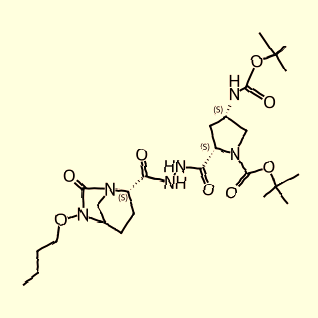 CCCCON1C(=O)N2CC1CC[C@H]2C(=O)NNC(=O)[C@@H]1C[C@H](NC(=O)OC(C)(C)C)CN1C(=O)OC(C)(C)C